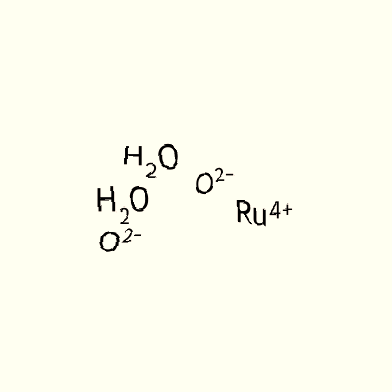 O.O.[O-2].[O-2].[Ru+4]